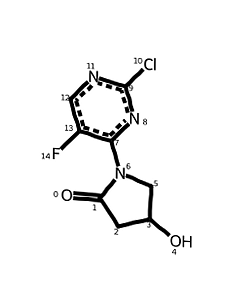 O=C1CC(O)CN1c1nc(Cl)ncc1F